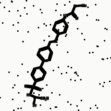 CC(C)[C@@H](NS(=O)(=O)c1ccc(-c2ccc(COc3ccc(NC(=O)OC(C)(C)C)cc3)cc2)cc1)C(=O)O